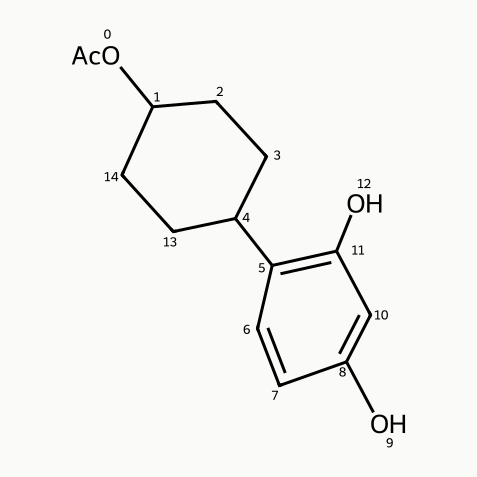 CC(=O)OC1CCC(c2ccc(O)cc2O)CC1